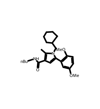 CCCCNC(=O)c1cc(-c2cc(OC)ccc2OC)n(CC2CCCCC2)c1C